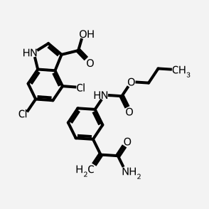 C=C(C(N)=O)c1cccc(NC(=O)OCCC)c1.O=C(O)c1c[nH]c2cc(Cl)cc(Cl)c12